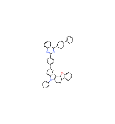 C1=CCCC(C2=CC=C(c3nc(-c4ccc(C5C=c6c7c(n(C8=CCCC=C8)c6=CC5)C=CC5c6ccccc6OC75)cc4)nc4ccccc34)CC2)=C1